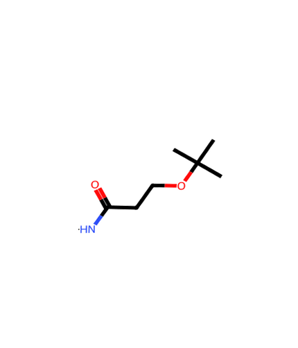 CC(C)(C)OCCC([NH])=O